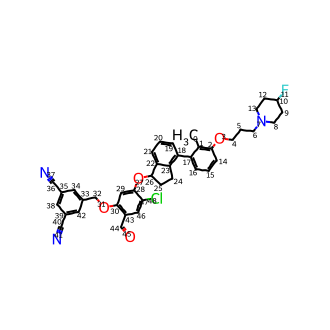 Cc1c(OCCCN2CCC(F)CC2)cccc1-c1cccc2c1CCC2Oc1cc(OCc2cc(C#N)cc(C#N)c2)c(C=O)cc1Cl